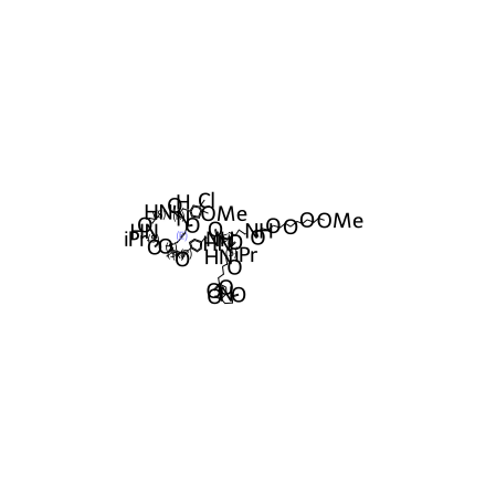 COCCOCCOCCOCCC(=O)NCCCC[C@H](NC(=O)[C@@H](NC(=O)CCCC(=O)ON1C(=O)CCC1=O)C(C)C)C(=O)NCc1ccc([C@H]2O[C@@H]2[C@@H](C)[C@@H]2C/C=C/C(=O)N[C@H](Cc3ccc(OC)c(Cl)c3)C(=O)N[C@@H](C)C(C)(C)C(=O)N[C@@H](CC(C)C)C(=O)O2)cc1